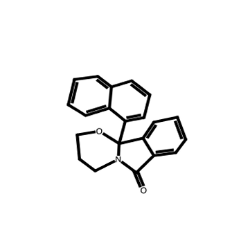 O=C1c2ccccc2C2(c3cccc4ccccc34)OCCCN12